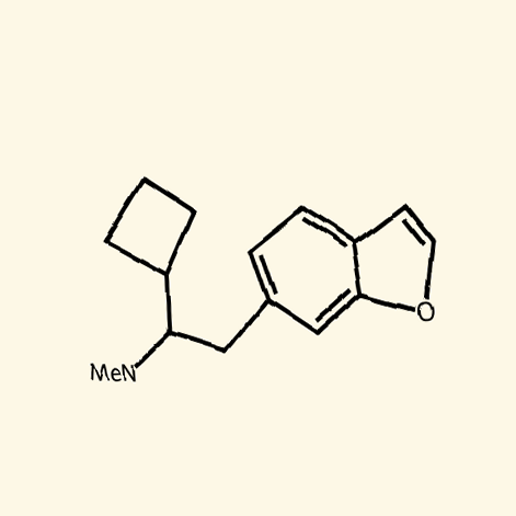 CNC(Cc1ccc2ccoc2c1)C1CCC1